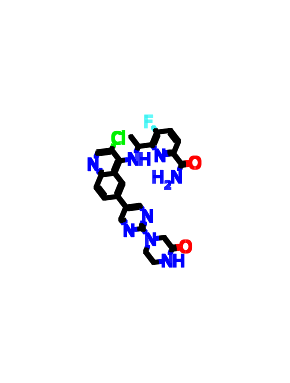 CC(Nc1c(Cl)cnc2ccc(-c3cnc(N4CCNC(=O)C4)nc3)cc12)c1nc(C(N)=O)ccc1F